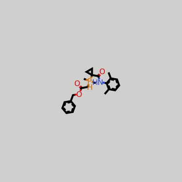 Cc1cccc(C)c1NC(=O)C1([PH](C)(C)CC(=O)OCc2ccccc2)CC1